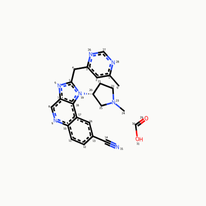 Cc1cc(Cc2nc3cnc4ccc(C#N)cc4c3n2[C@@H]2CCN(C)C2)ncn1.O=CO